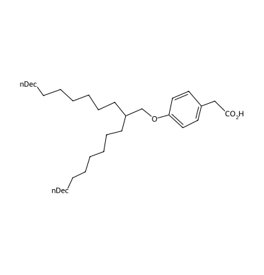 CCCCCCCCCCCCCCCCC(CCCCCCCCCCCCCCCC)COc1ccc(CC(=O)O)cc1